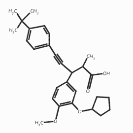 COc1ccc(C(C#Cc2ccc(C(C)(C)C)cc2)C(C)C(=O)O)cc1OC1CCCC1